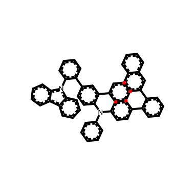 c1ccc(-c2cc(-c3ccccc3-n3c4ccccc4c4ccccc43)ccc2N(c2ccccc2)c2ccc(-c3ccccc3-c3ccc4ccccc4c3)cc2)cc1